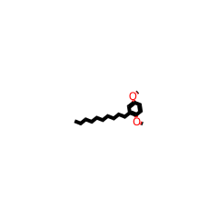 CCCCCCCCCCc1cc(OC)ccc1OC